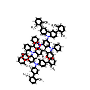 Cc1cccc(C)c1-c1ccc(N2c3ccc(-c4c(C)cccc4C)cc3B3c4cc5c(cc4N(c4c(-c6ccccc6)cccc4-c4ccccc4)c4cc(-c6c(C)cccc6C)cc2c43)N(c2ccccc2)c2cc(-n3c4ccc(-c6c(C)cccc6C)cc4c4cc(-c6c(C)cccc6C)ccc43)cc3c2B5c2ccccc2N3c2ccccc2)cc1